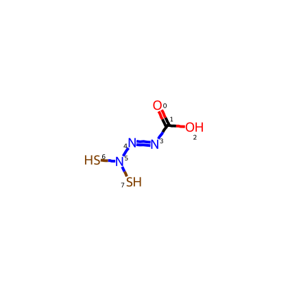 O=C(O)N=NN(S)S